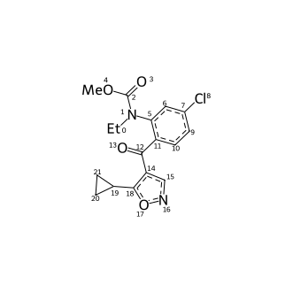 CCN(C(=O)OC)c1cc(Cl)ccc1C(=O)c1cnoc1C1CC1